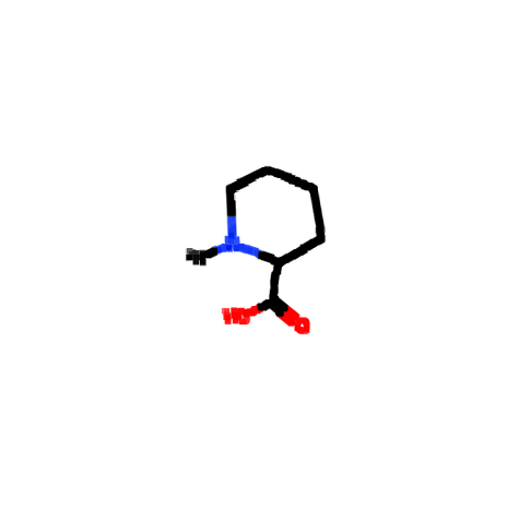 [2H]N1CCCCC1C(=O)O